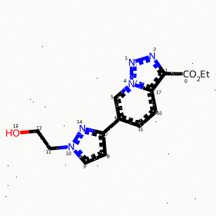 CCOC(=O)c1nnn2cc(-c3ccn(CCO)n3)ccc12